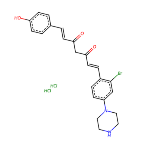 Cl.Cl.O=C(C=Cc1ccc(O)cc1)CC(=O)C=Cc1ccc(N2CCNCC2)cc1Br